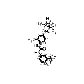 Cc1cc(B2OC(C)(C)C(C)(C)O2)ccc1NC(=O)Nc1ccc(F)c(C(F)(F)F)c1